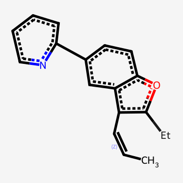 C/C=C\c1c(CC)oc2ccc(-c3ccccn3)cc12